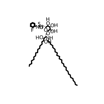 CCCCCCCCCCCCCCCCCCCCCCCCCCN[C@@H](CO[C@@H]1O[C@H](COC(=S)Nc2ccccc2F)[C@H](O)[C@H](O)[C@H]1O)[C@H](O)[C@H](O)CCCCCCCCCCCCCC